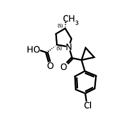 C[C@H]1C[C@@H](C(=O)O)N(C(=O)C2(c3ccc(Cl)cc3)CC2)C1